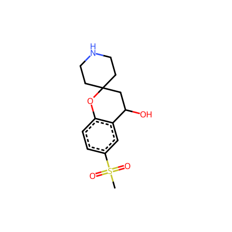 CS(=O)(=O)c1ccc2c(c1)C(O)CC1(CCNCC1)O2